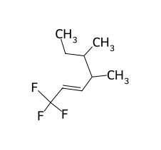 CCC(C)C(C)/C=C/C(F)(F)F